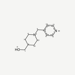 OCC1CCN(Cc2ccncc2)CC1